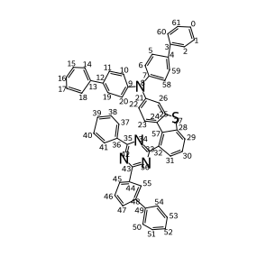 c1ccc(-c2ccc(N(c3ccc(-c4ccccc4)cc3)c3ccc4c(c3)sc3cccc(-c5nc(-c6ccccc6)nc(-c6cccc(-c7ccccc7)c6)n5)c34)cc2)cc1